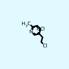 Cc1ccc(CCCl)cn1.Cl